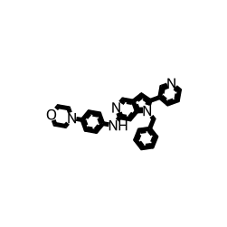 c1ccc(Cn2c(-c3cccnc3)cc3cnc(Nc4ccc(N5CCOCC5)cc4)cc32)cc1